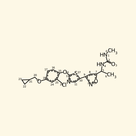 CNC(=O)NC(C)c1cc(-c2cnc(Oc3ccc(OCC4CC4)cc3Cl)s2)no1